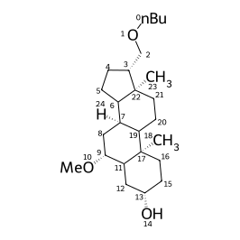 CCCCOC[C@H]1CCC2[C@@H]3C[C@@H](OC)C4C[C@@H](O)CC[C@]4(C)C3CC[C@@]21C